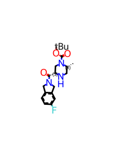 C[C@@H]1CN[C@H](C(=O)N2Cc3ccc(F)cc3C2)CN1C(=O)OC(C)(C)C